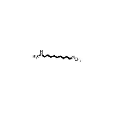 CNCCCCCCCCCOC